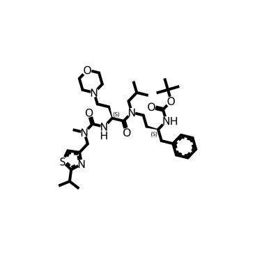 CC(C)CN(CC[C@H](Cc1ccccc1)NC(=O)OC(C)(C)C)C(=O)[C@H](CCN1CCOCC1)NC(=O)N(C)Cc1csc(C(C)C)n1